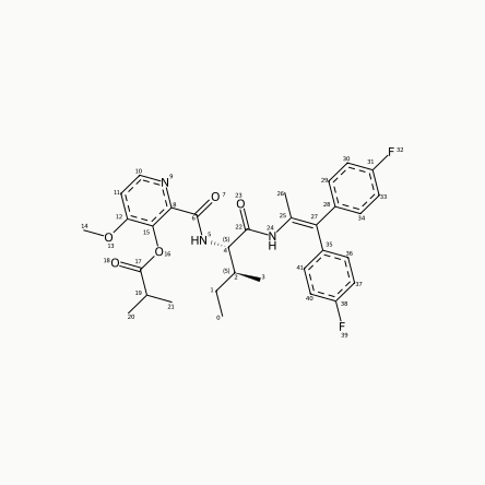 CC[C@H](C)[C@H](NC(=O)c1nccc(OC)c1OC(=O)C(C)C)C(=O)NC(C)=C(c1ccc(F)cc1)c1ccc(F)cc1